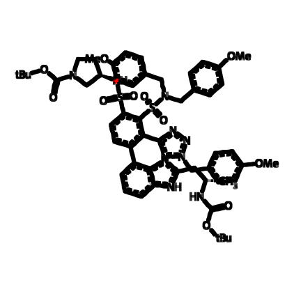 COc1ccc(CN(Cc2ccc(OC)cc2)S(=O)(=O)c2c(S(=O)(=O)N[C@@H]3CCN(C(=O)OC(C)(C)C)C3)ccc(-c3cccc4[nH]c(C[C@H](C)NC(=O)OC(C)(C)C)nc34)c2-c2nnn(Cc3ccc(OC)cc3)n2)cc1